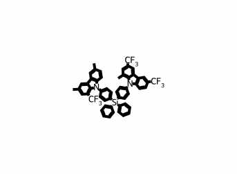 Cc1ccc2c(c1)c1cc(C)cc(C(F)(F)F)c1n2-c1ccc([Si](c2ccccc2)(c2ccccc2)c2ccc(-n3c4ccc(C(F)(F)F)cc4c4cc(C(F)(F)F)cc(C)c43)cc2)cc1